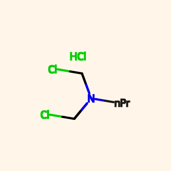 CCCN(CCl)CCl.Cl